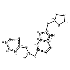 CN(Cc1ccc2[nH]c(CN3CCCC3)cc2c1)Cc1ccncn1